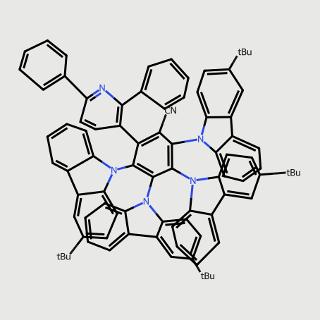 CC(C)(C)c1ccc2c(c1)c1ccccc1n2-c1c(C#N)c(-c2ccc(-c3ccccc3)nc2-c2ccccc2)c(-n2c3ccccc3c3cc(C(C)(C)C)ccc32)c(-n2c3ccccc3c3cc(C(C)(C)C)ccc32)c1-n1c2ccccc2c2cc(C(C)(C)C)ccc21